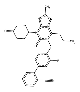 CCCc1c(Cc2ccc(-c3ccccc3C#N)cc2F)c(=O)n(C2CCC(=O)CC2)c2nc(C)nn12